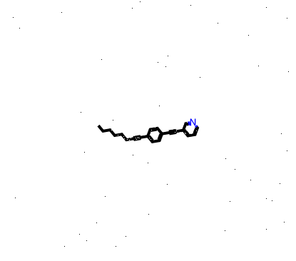 CCCCCCC#Cc1ccc(C#Cc2cccnc2)cc1